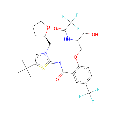 CC(C)(C)c1cn(C[C@H]2CCCO2)/c(=N/C(=O)c2cc(C(F)(F)F)ccc2OC[C@@H](CO)NC(=O)C(F)(F)F)s1